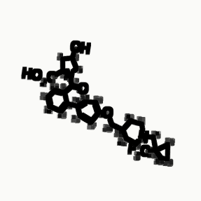 O=C(O)C1CC(O)CN1C(=O)c1ccccc1-c1ccc(OCC2CCN(CC3(C(F)(F)F)CCC3)CC2)cc1